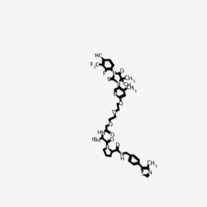 Cc1cc(OCCOCCOCC(=O)NC(C(=O)N2CCCC2C(=O)NCc2ccc(-c3scnc3C)cc2)C(C)(C)C)ncc1N1C(=S)N(c2ccc(C#N)c(C(F)(F)F)c2F)C(=O)C1(C)C